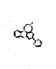 CN1CCN(c2ccccc2F)c2ccc(-c3ncccn3)cc2C1